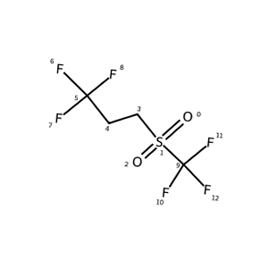 O=S(=O)(CCC(F)(F)F)C(F)(F)F